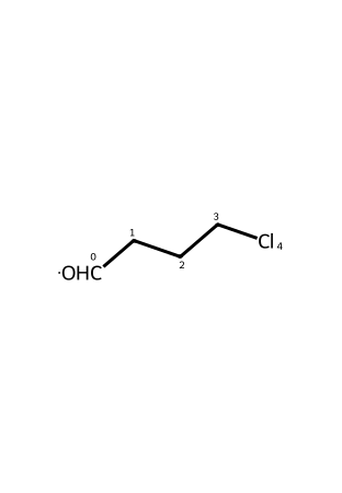 O=[C]CCCCl